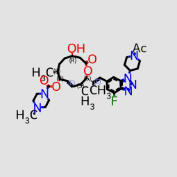 CC(=O)N1CCC(n2nnc3c(F)cc(/C=C(\C)[C@H]4OC(=O)C[C@H](O)CC[C@H](C)[C@@H](OC(=O)N5CCN(C)CC5)/C=C/[C@@H]4C)cc32)CC1